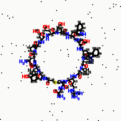 CCCC[C@H]1C(=O)N(C)[C@@H](CCCC)C(=O)N[C@@H](CCCNC(=N)N)C(=O)NC(C(=O)NCC(N)=O)CSCC(=O)N[C@@H](Cc2ccc(O)cc2)C(=O)N(C)[C@@H](C)C(=O)N[C@@H](CC(N)=O)C(=O)N2CCC[C@H]2C(=O)N[C@@H](CCO)C(=O)N[C@@H](CCO)C(=O)N2C[C@H](O)C[C@@H]2C(=O)N[C@@H](Cc2c[nH]c3ccccc23)C(=O)N[C@@H](CO)C(=O)N[C@@H](Cc2c[nH]c3ccccc23)C(=O)N1C